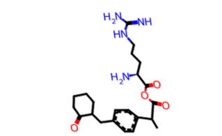 CC(C(=O)OC(=O)[C@@H](N)CCCNC(=N)N)c1ccc(CC2CCCCC2=O)cc1